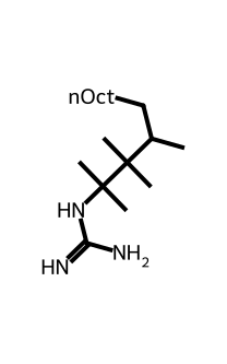 CCCCCCCCCC(C)C(C)(C)C(C)(C)NC(=N)N